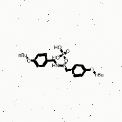 CCCCOc1ccc(CNN(Cc2ccc(OCCCC)cc2)OP(=O)(O)O)cc1